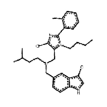 CCCCn1c(-c2ccccc2C)nc(Cl)c1CN(CCC(C)C)Cc1ccc2[nH]cc(Cl)c2c1